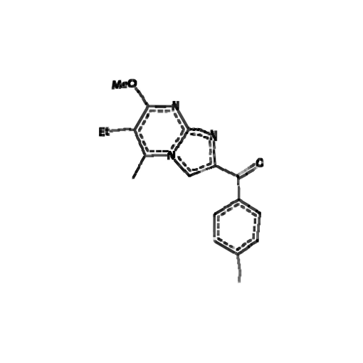 CCc1c(OC)nc2nc(C(=O)c3ccc(C)cc3)cn2c1C